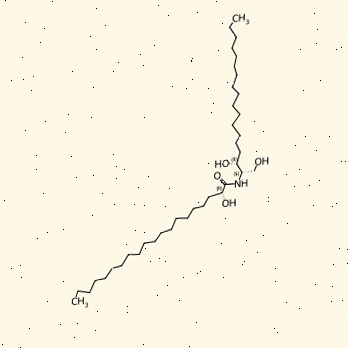 CCCCCCCCCCCCCCCCCC[C@@H](O)C(=O)N[C@@H](CO)[C@H](O)CCCCCCCCCCCCCCC